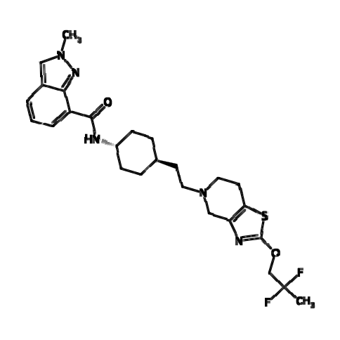 Cn1cc2cccc(C(=O)N[C@H]3CC[C@H](CCN4CCc5sc(OCC(C)(F)F)nc5C4)CC3)c2n1